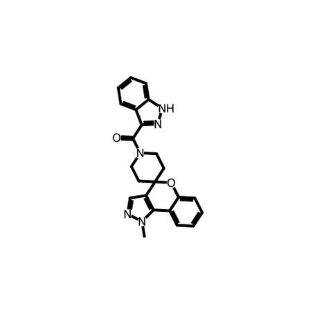 Cn1ncc2c1-c1ccccc1OC21CCN(C(=O)c2n[nH]c3ccccc23)CC1